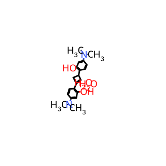 CN(C)c1ccc(C2=CC(c3ccc(N(C)C)cc3O)C2)c(O)c1.O.O